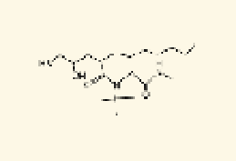 CCCCCCCC(CC(O)CS)C(=O)N(CC(=O)NC)C(C)(C)C